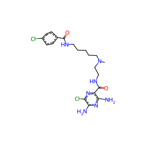 CN(CCCCCNC(=O)c1ccc(Cl)cc1)CCNC(=O)c1nc(Cl)c(N)nc1N